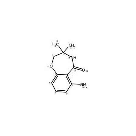 CC1(C)COc2cccc(N)c2C(=O)N1